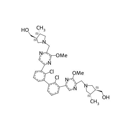 COc1nc(-c2cccc(-c3cccc(-c4cnc(CN5C[C@@H](CO)[C@H](C)C5)c(OC)n4)c3Cl)c2Cl)cnc1CN1C[C@@H](CO)[C@H](C)C1